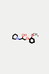 COc1ccccc1OCC(O)CN1CCCCC1